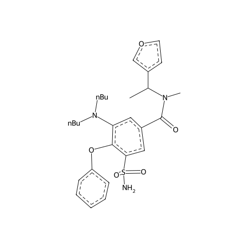 CCCCN(CCCC)c1cc(C(=O)N(C)C(C)c2ccoc2)cc(S(N)(=O)=O)c1Oc1ccccc1